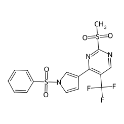 CS(=O)(=O)c1ncc(C(F)(F)F)c(-c2ccn(S(=O)(=O)c3ccccc3)c2)n1